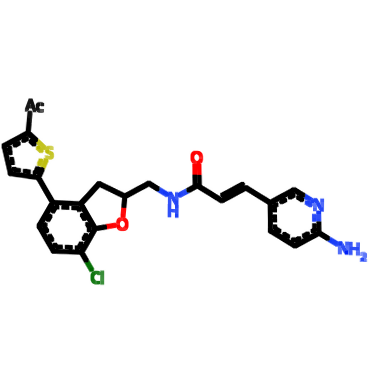 CC(=O)c1ccc(-c2ccc(Cl)c3c2CC(CNC(=O)C=Cc2ccc(N)nc2)O3)s1